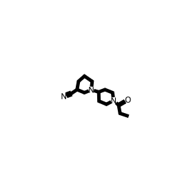 CCC(=O)N1CCC(N2CCCC(C#N)C2)CC1